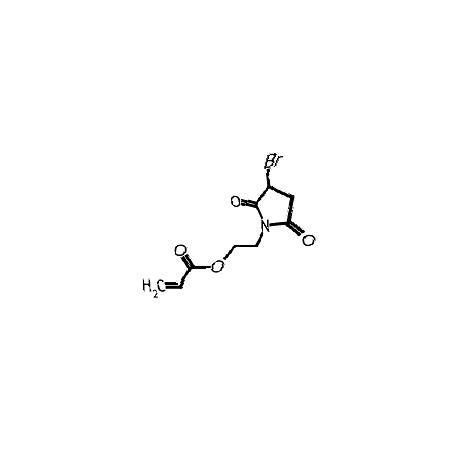 C=CC(=O)OCCN1C(=O)CC(Br)C1=O